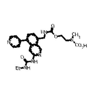 CCNC(=O)Nc1cc2c(-c3ccncc3)ccc(CNC(=O)OCCN(C)C(=O)O)c2cn1